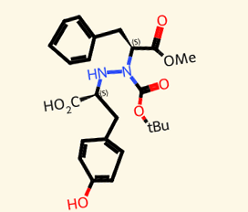 COC(=O)[C@H](Cc1ccccc1)N(N[C@@H](Cc1ccc(O)cc1)C(=O)O)C(=O)OC(C)(C)C